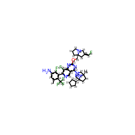 Cc1cc(N)c(F)c(-c2ncc3c(N4C[C@@H]5CC[C@](C6CCCC6)(C4)N5)nc(OC[C@@]45CCCN4C/C(=C\F)C5)nc3c2F)c1C(F)(F)F